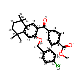 COC(=O)c1ccc(C(=O)c2cc3c(cc2OCc2ccc(Br)cc2)C(C)(C)CCC3(C)C)cc1